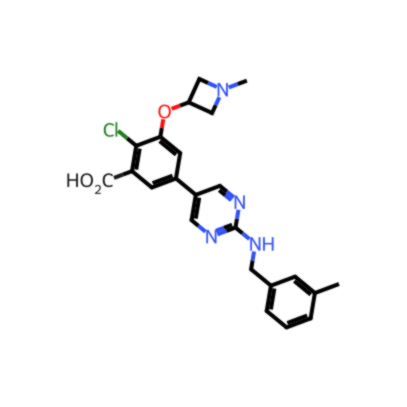 Cc1cccc(CNc2ncc(-c3cc(OC4CN(C)C4)c(Cl)c(C(=O)O)c3)cn2)c1